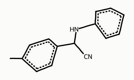 Cc1ccc(C(C#N)Nc2ccccc2)cc1